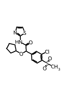 CS(=O)(=O)c1ccc(C(OC2CCCC2)C(=O)Nc2nccs2)cc1Cl